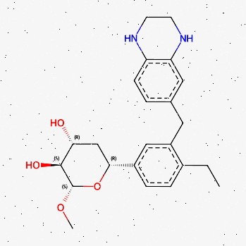 CCc1ccc([C@H]2C[C@@H](O)[C@H](O)[C@@H](OC)O2)cc1Cc1ccc2c(c1)NCCN2